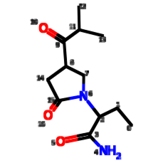 CCC(C(N)=O)N1CC(C(=O)C(C)C)CC1=O